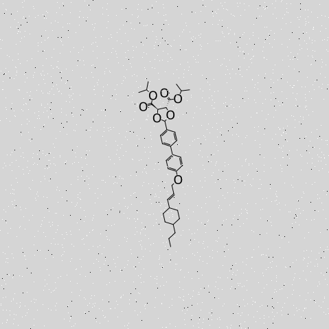 CCCC1CCC(C=CCOc2ccc(-c3ccc(C4O[C@@H](C(=O)OC(C)C)[C@H](C(=O)OC(C)C)O4)cc3)cc2)CC1